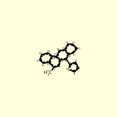 Cc1cc2c(-c3cccs3)c3ccccc3cc2c2ccccc12